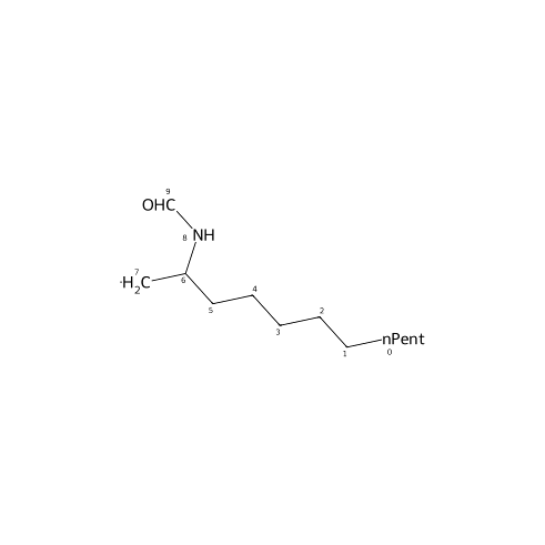 [CH2]CCCCCCCCCC([CH2])NC=O